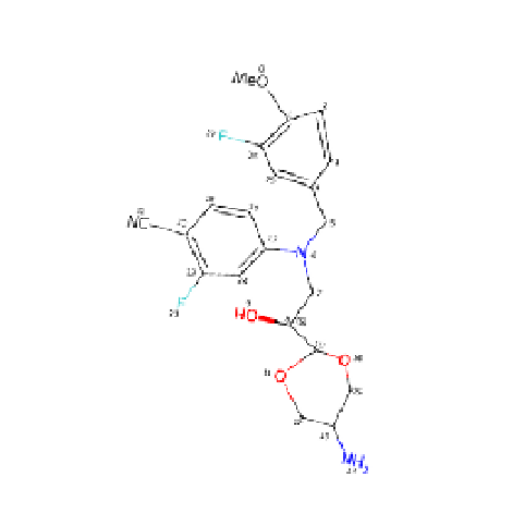 COc1ccc(CN(C[C@H](O)C2OCC(N)CO2)c2ccc(C#N)c(F)c2)cc1F